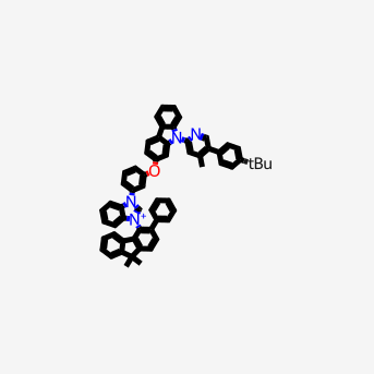 Cc1cc(-n2c3ccccc3c3ccc(Oc4cccc(-n5c[n+](-c6c(-c7ccccc7)ccc7c6-c6ccccc6C7(C)C)c6ccccc65)c4)cc32)ncc1-c1ccc(C(C)(C)C)cc1